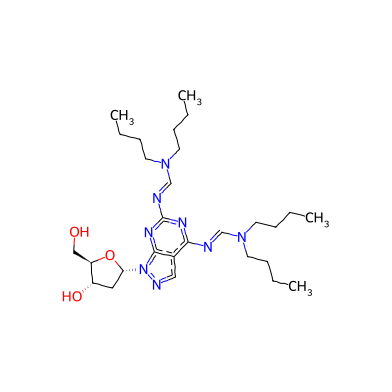 CCCCN(C=Nc1nc(N=CN(CCCC)CCCC)c2cnn([C@@H]3C[C@H](O)[C@@H](CO)O3)c2n1)CCCC